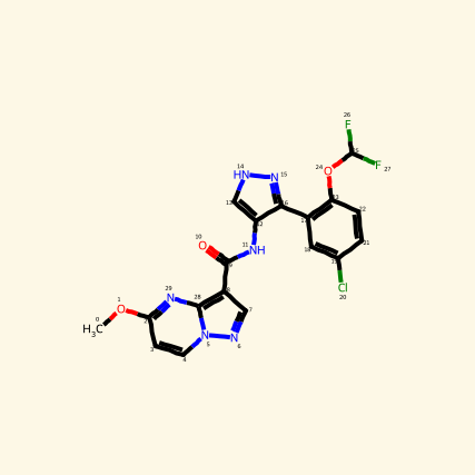 COc1ccn2ncc(C(=O)Nc3c[nH]nc3-c3cc(Cl)ccc3OC(F)F)c2n1